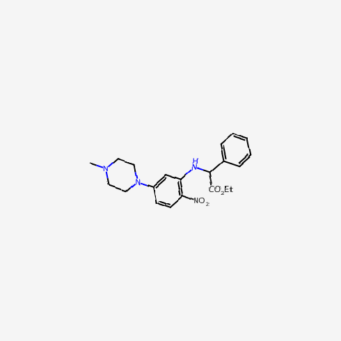 CCOC(=O)C(Nc1cc(N2CCN(C)CC2)ccc1[N+](=O)[O-])c1ccccc1